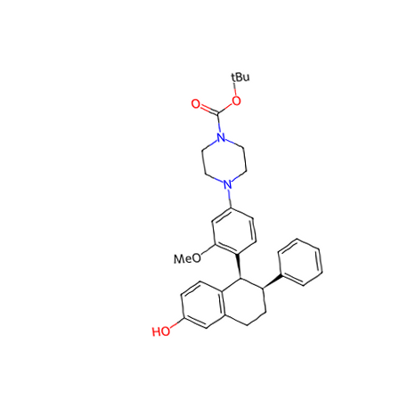 COc1cc(N2CCN(C(=O)OC(C)(C)C)CC2)ccc1[C@@H]1c2ccc(O)cc2CC[C@@H]1c1ccccc1